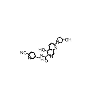 N#Cc1ccc(CNC(=O)c2ncc3nc(N4CC[C@H](O)C4)ccc3c2O)cn1